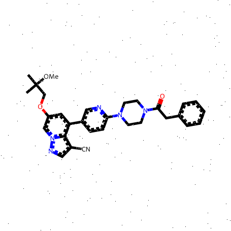 COC(C)(C)COc1cc(-c2ccc(N3CCN(C(=O)Cc4ccccc4)CC3)nc2)c2c(C#N)cnn2c1